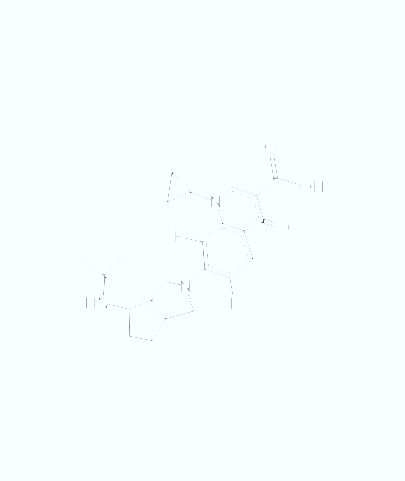 CC(=O)NC1CCC2=C1CN(c1c(F)cc3c(=O)c(C(=O)O)cn(C4CC4)c3c1F)C2